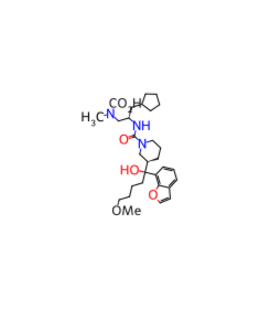 COCCCC[C@@](O)(c1cccc2ccoc12)[C@@H]1CCCN(C(=O)N[C@H](CC2CCCC2)CN(C)C(=O)O)C1